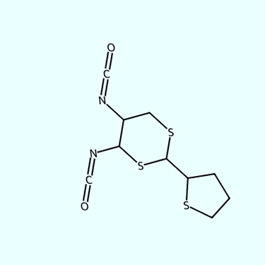 O=C=NC1CSC(C2CCCS2)SC1N=C=O